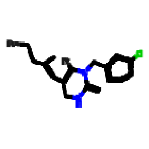 C=C1NCC(/C=C(\C)CCC(C)C)=C(CC)N1Cc1cccc(Cl)c1